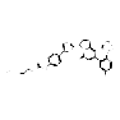 COCCOC(=O)Nc1ccc(-c2cnc([C@@H]3CCc4cc(-c5cc(Cl)ccc5-n5cnnn5)cc(=O)n43)[nH]2)cc1